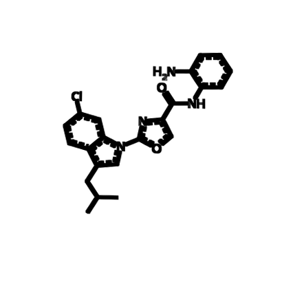 CC(C)Cc1cn(-c2nc(C(=O)Nc3ccccc3N)co2)c2cc(Cl)ccc12